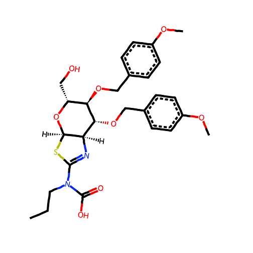 CCCN(C(=O)O)C1=N[C@@H]2[C@@H](OCc3ccc(OC)cc3)[C@H](OCc3ccc(OC)cc3)[C@@H](CO)O[C@@H]2S1